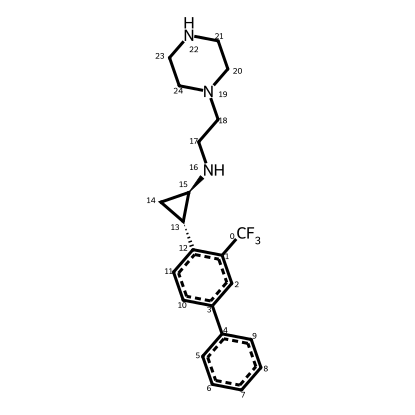 FC(F)(F)c1cc(-c2ccccc2)ccc1[C@@H]1C[C@H]1NCCN1CCNCC1